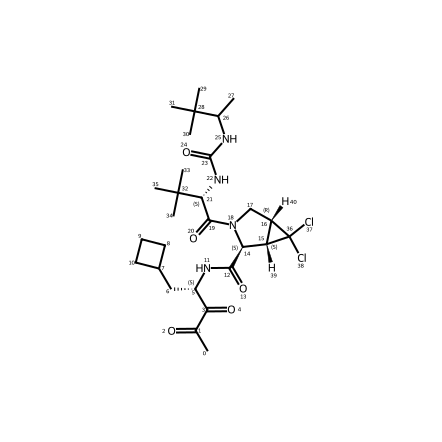 CC(=O)C(=O)[C@H](CC1CCC1)NC(=O)[C@@H]1[C@@H]2[C@H](CN1C(=O)[C@@H](NC(=O)NC(C)C(C)(C)C)C(C)(C)C)C2(Cl)Cl